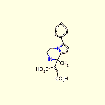 CC1(C(=CC(=O)O)C(=O)O)NCCn2c(-c3ccccc3)ccc21